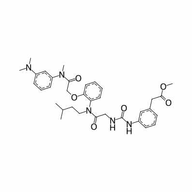 COC(=O)Cc1cccc(NC(=O)NCC(=O)N(CCC(C)C)c2ccccc2OCC(=O)N(C)c2cccc(N(C)C)c2)c1